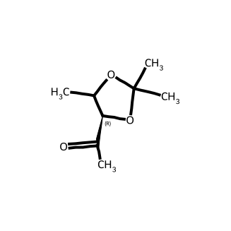 CC(=O)[C@@H]1OC(C)(C)OC1C